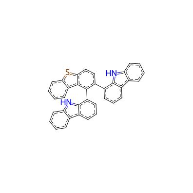 c1ccc2c(c1)[nH]c1c(-c3ccc4sc5ccccc5c4c3-c3cccc4c3[nH]c3ccccc34)cccc12